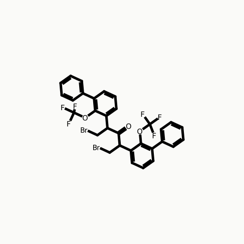 O=C(C(CBr)c1cccc(-c2ccccc2)c1OC(F)(F)F)C(CBr)c1cccc(-c2ccccc2)c1OC(F)(F)F